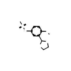 CS(=O)(=O)Nc1ccc(OC(F)(F)F)c(C2OCCO2)c1